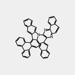 c1ccc2cc(-c3nc4ccc5ccccc5c4nc3-n3c4cc5ccccc5cc4c4c5c6ccccc6c6ccccc6c5ccc43)ccc2c1